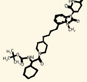 Cn1c(=O)n(C2CCC(=O)NC2=O)c2cccc(CCCCC3CCN(C(=O)C(NC(=O)OC(C)(C)C)C4CCCCC4)CC3)c21